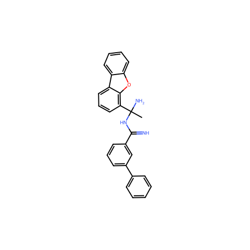 CC(N)(NC(=N)c1cccc(-c2ccccc2)c1)c1cccc2c1oc1ccccc12